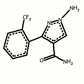 NC(=O)c1cn(N)nc1-c1ccccc1C(F)(F)F